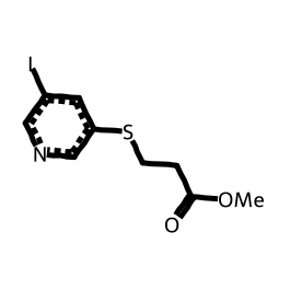 COC(=O)CCSc1cncc(I)c1